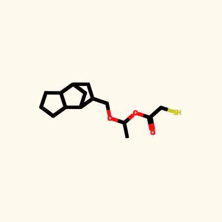 CC(OCC1CC2CC1C1CCCC21)OC(=O)CS